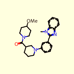 COC1CCN(C(=O)C2CCCN(c3cccc(-c4nc5ccccc5n4C)c3)C2)CC1